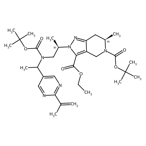 C=C(C)c1ncc(C(C)N(C[C@@H](C)n2nc3c(c2C(=O)OCC)CN(C(=O)OC(C)(C)C)[C@H](C)C3)C(=O)OC(C)(C)C)cn1